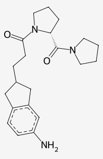 Nc1ccc2c(c1)CC(CCC(=O)N1CCC[C@@H]1C(=O)N1CCCC1)C2